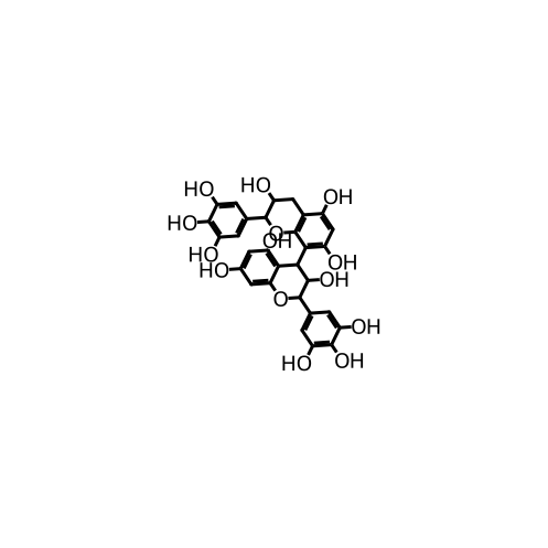 Oc1cc(O)c2c(c1)OC(c1cc(O)c(O)c(O)c1)C(O)C2c1c(O)cc(O)c2c1OC(c1cc(O)c(O)c(O)c1)C(O)C2